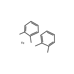 Cc1ccccc1C.Cc1ccccc1C.[Fe]